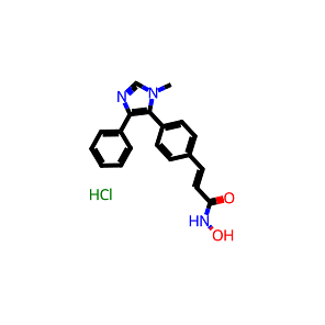 Cl.Cn1cnc(-c2ccccc2)c1-c1ccc(C=CC(=O)NO)cc1